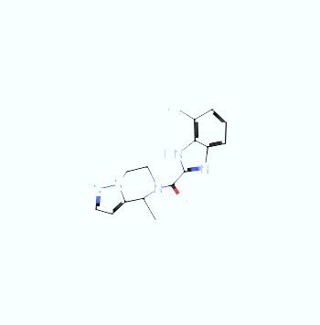 CC1c2ccnn2CCN1C(=O)c1nc2cccc(Cl)c2[nH]1